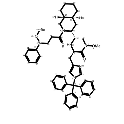 CON(C)C(=O)[C@@H](Cc1cn(C(c2ccccc2)(c2ccccc2)c2ccccc2)cn1)NC[C@H]1C[C@@H]2CCCC[C@H]2CN1C(=O)CCN(OC(C)(C)C)c1ccccc1